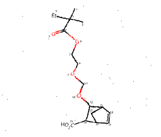 CCC(C)(C)C(=O)OCCOCOC1C2C=CC(C2)C1C(=O)O